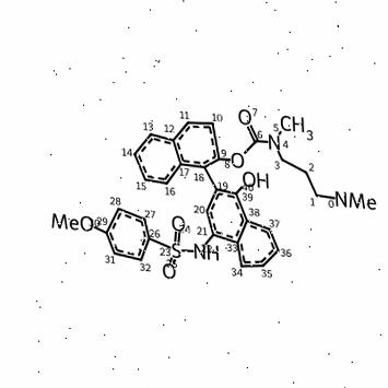 CNCCCN(C)C(=O)Oc1ccc2ccccc2c1-c1cc(NS(=O)(=O)c2ccc(OC)cc2)c2ccccc2c1O